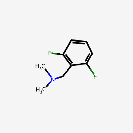 CN(C)Cc1c(F)cccc1F